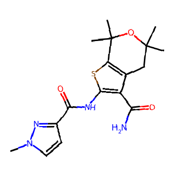 Cn1ccc(C(=O)Nc2sc3c(c2C(N)=O)CC(C)(C)OC3(C)C)n1